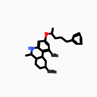 CC(=O)NC1CCC2C(C)Nc3cc(OC(C)CCCc4ccccc4)cc(OC(C)=O)c3C2C1